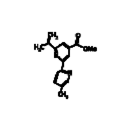 C=C(C)c1cc(C(=O)OC)cc(-c2ccc(C)cn2)n1